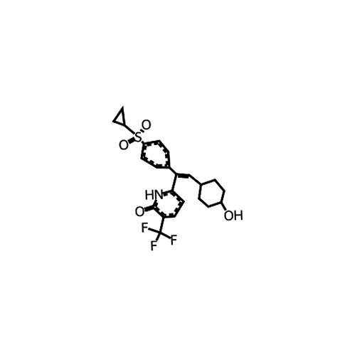 O=c1[nH]c(/C(=C\C2CCC(O)CC2)c2ccc(S(=O)(=O)C3CC3)cc2)ccc1C(F)(F)F